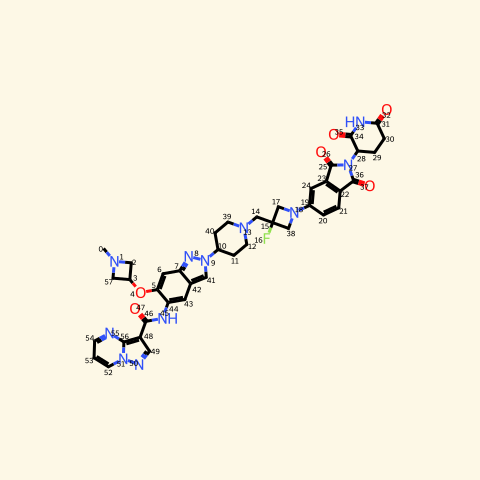 CN1CC(Oc2cc3nn(C4CCN(CC5(F)CN(c6ccc7c(c6)C(=O)N(C6CCC(=O)NC6=O)C7=O)C5)CC4)cc3cc2NC(=O)c2cnn3cccnc23)C1